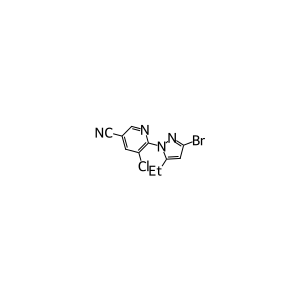 CCc1cc(Br)nn1-c1ncc(C#N)cc1Cl